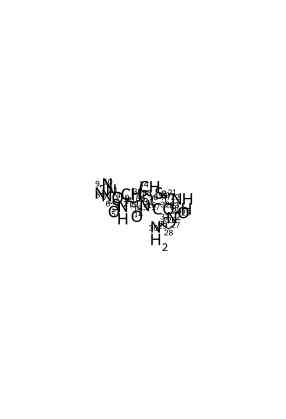 C[C@@H](NS(=O)(=O)Cn1ncnn1)[C@H]1C(=O)N2C(C(=O)O)=C(S[C@@H]3CN[C@H](C(=O)N4CC[C@@H](N)C4)C3)[C@H](C)[C@H]12